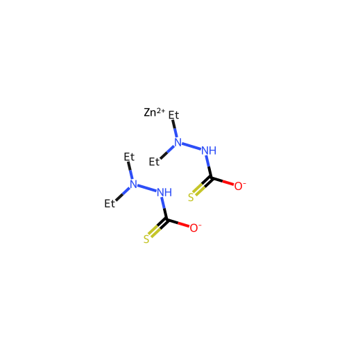 CCN(CC)NC([O-])=S.CCN(CC)NC([O-])=S.[Zn+2]